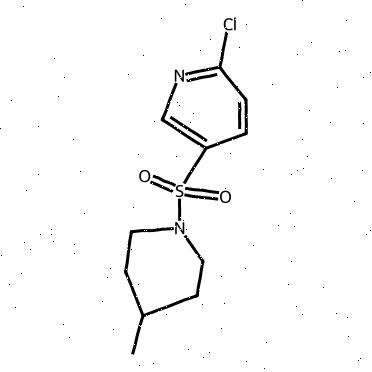 CC1CCN(S(=O)(=O)c2ccc(Cl)nc2)CC1